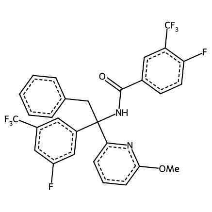 COc1cccc(C(Cc2ccccc2)(NC(=O)c2ccc(F)c(C(F)(F)F)c2)c2cc(F)cc(C(F)(F)F)c2)n1